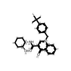 CC(C)(I)c1ccc(Cn2cc(C(=O)N[C@H]3CCCC[C@@H]3O)c(=O)c3ccccc32)cc1